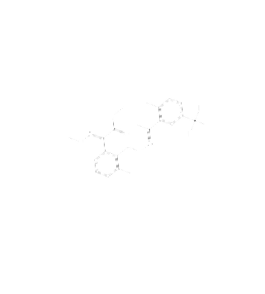 CO/N=C(/C(=O)OC)c1cccc(C)c1CO/N=C(\C)c1cc(C(F)(F)F)ccc1C